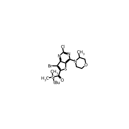 CC1COCCN1c1nc(Cl)nc2c(Br)c(C(=O)[Si](C)(C)C(C)(C)C)sc12